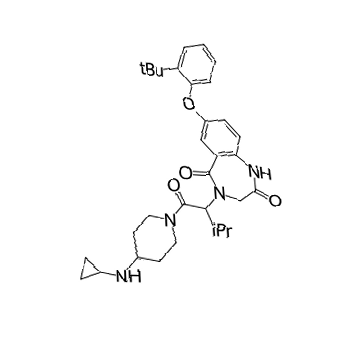 CC(C)C(C(=O)N1CCC(NC2CC2)CC1)N1CC(=O)Nc2ccc(Oc3ccccc3C(C)(C)C)cc2C1=O